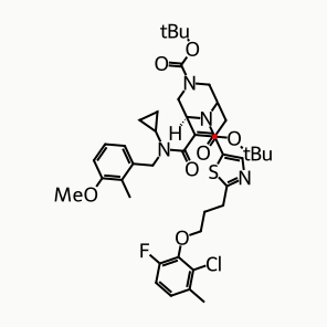 COc1cccc(CN(C(=O)C2=C(c3cnc(CCCOc4c(F)ccc(C)c4Cl)s3)CC3CN(C(=O)OC(C)(C)C)C[C@H]2N3C(=O)OC(C)(C)C)C2CC2)c1C